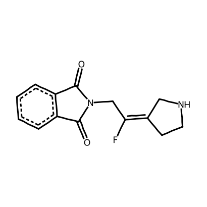 O=C1c2ccccc2C(=O)N1C/C(F)=C1/CCNC1